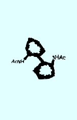 CC(=O)Nc1ccccc1-c1ccccc1NC(C)=O